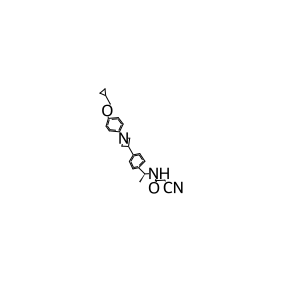 C[C@H](NC(=O)CC#N)c1ccc(C2CN(c3ccc(OCC4CC4)cc3)C2)cc1